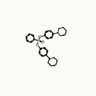 O=P(Oc1ccc(C2CCCCC2)cc1)(Oc1ccc(C2CCCCC2)cc1)c1ccccc1